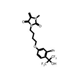 C=C1C(=O)N(CCCCOc2ccc(C(O)(C(F)(F)F)C(F)(F)F)c(C(C)C)c2)C(=O)N1C